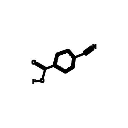 N#Cc1ccc(C(=O)OF)cc1